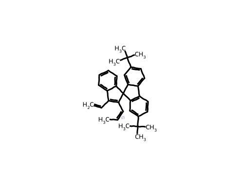 C=CC1=C(/C=C\C)C2(c3ccccc31)c1cc(C(C)(C)C)ccc1-c1ccc(C(C)(C)C)cc12